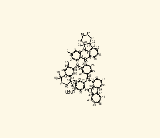 Cc1cc2c3c(c1)N1c4c(cccc4C4(C)CCCCC14C)B3c1ccc(N(c3ccc(C(C)(C)C)cc3)c3cccc4c3oc3ccccc34)cc1N2c1cc2c(cc1C)C(C)(C)CCC2(C)C